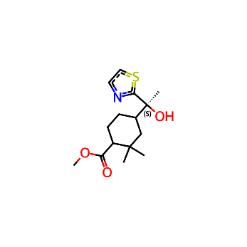 COC(=O)C1CCC([C@](C)(O)c2nccs2)CC1(C)C